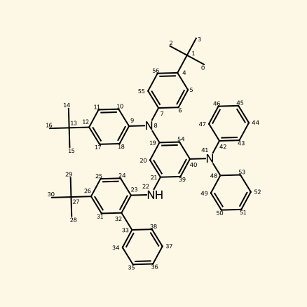 CC(C)(C)c1ccc(N(c2ccc(C(C)(C)C)cc2)c2cc(Nc3ccc(C(C)(C)C)cc3-c3ccccc3)cc(N(c3ccccc3)C3C=CC=CC3)c2)cc1